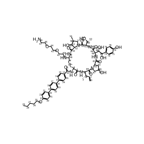 C=C[C@H](C)C1NC(=O)C(NC(=O)c2ccc(-c3ccc(-c4ccc(OCCCCC)cc4)cc3)cc2)CCC(NCCOCCOCCN)NC(=O)C2[C@@H](O)[C@@H](C)CN2C(=O)C([C@@H](C)O)NC(=O)C([C@H](O)[C@@H](O)c2ccc(O)cc2)NC(=O)C2C[C@@H](O)CN2C1=O